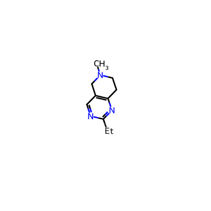 CCc1ncc2c(n1)CCN(C)C2